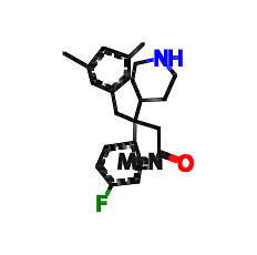 CNC(=O)CC(Cc1cc(C)cc(C)c1)(c1ccc(F)cc1)C1CCNCC1